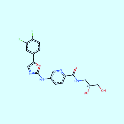 O=C(NC[C@@H](O)CO)c1ccc(Nc2ncc(-c3ccc(F)c(F)c3)o2)cn1